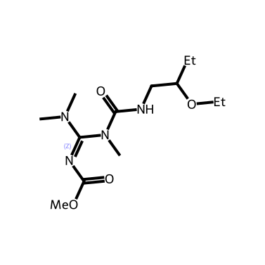 CCOC(CC)CNC(=O)N(C)/C(=N\C(=O)OC)N(C)C